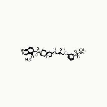 CNS(=O)(=O)c1cccc(OC[C@@H](O)CN[C@H]2COC3(CCN(S(=O)(=O)c4ccc5[nH]ncc5c4OC)CC3)C2)c1